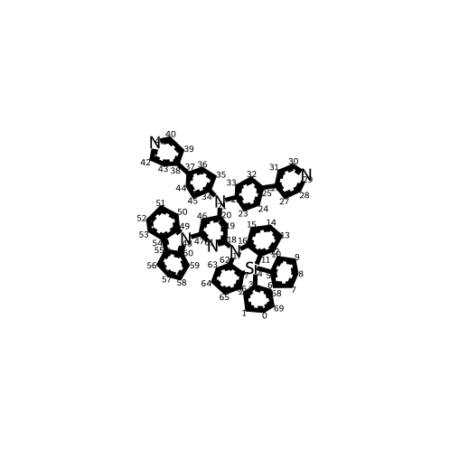 c1ccc([Si]2(c3ccccc3)c3ccccc3N(c3cc(N(c4ccc(-c5ccncc5)cc4)c4ccc(-c5ccncc5)cc4)cc(-n4c5ccccc5c5ccccc54)n3)c3ccccc32)cc1